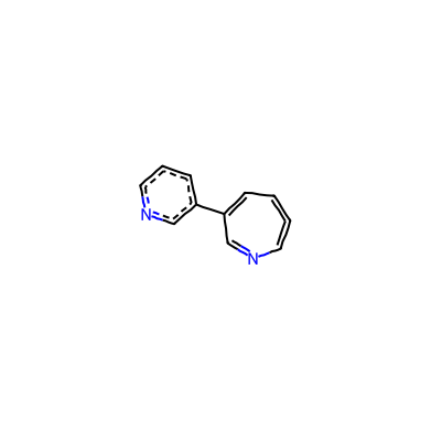 C1=CC=C(c2cccnc2)C=NC=1